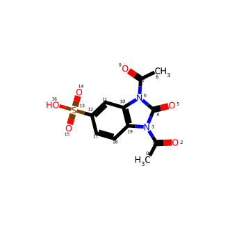 CC(=O)n1c(=O)n(C(C)=O)c2cc(S(=O)(=O)O)ccc21